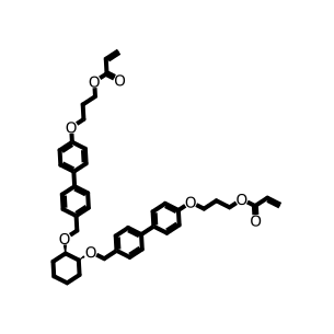 C=CC(=O)OCCCOc1ccc(-c2ccc(CO[C@@H]3CCCC[C@H]3OCc3ccc(-c4ccc(OCCCOC(=O)C=C)cc4)cc3)cc2)cc1